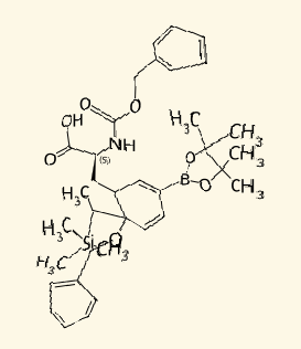 CC(C1(OCc2ccccc2)C=CC(B2OC(C)(C)C(C)(C)O2)=CC1C[C@H](NC(=O)OCc1ccccc1)C(=O)O)[Si](C)(C)C